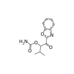 CC(C)C(OC(N)=O)C(=O)c1nc2ccccc2o1